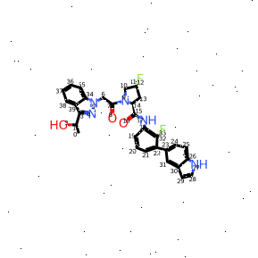 CC(O)c1nn(CC(=O)N2C[C@H](F)C[C@H]2C(=O)Nc2cccc(-c3ccc4[nH]ccc4c3)c2F)c2ccccc12